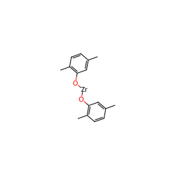 Cc1ccc(C)c([O][Zr][O]c2cc(C)ccc2C)c1